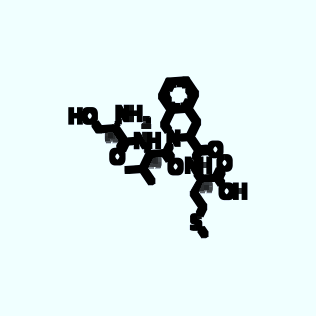 CSCC[C@@H](NC(=O)C1Cc2ccccc2CN1C(=O)[C@@H](NC(=O)[C@@H](N)CO)C(C)C)C(=O)O